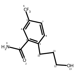 NC(=O)c1cc(C(F)(F)F)ccc1[CH]CCO